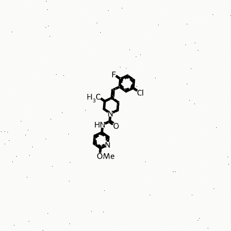 COc1ccc(NC(=O)N2CCC(=Cc3cc(Cl)ccc3F)C(C)C2)cn1